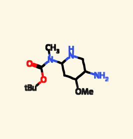 COC1CC(N(C)C(=O)OC(C)(C)C)NCC1N